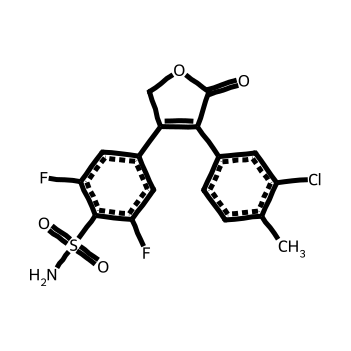 Cc1ccc(C2=C(c3cc(F)c(S(N)(=O)=O)c(F)c3)COC2=O)cc1Cl